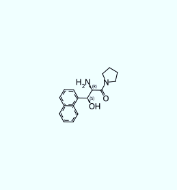 N[C@@H](C(=O)N1CCCC1)[C@@H](O)c1cccc2ccccc12